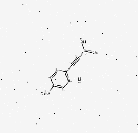 COc1ccc(C#CS(=O)O)cc1.[Li]